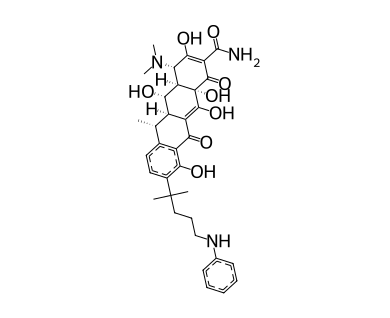 C[C@H]1c2ccc(C(C)(C)CCCNc3ccccc3)c(O)c2C(=O)C2=C(O)[C@]3(O)C(=O)C(C(N)=O)=C(O)[C@@H](N(C)C)[C@@H]3[C@@H](O)[C@@H]21